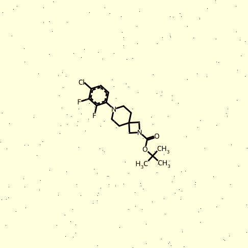 CC(C)(C)OC(=O)N1CC2(CCN(c3ccc(Cl)c(F)c3F)CC2)C1